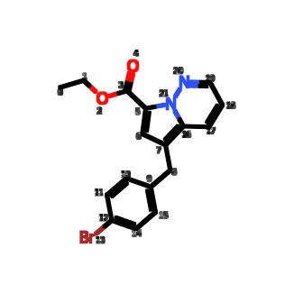 CCOC(=O)c1cc(Cc2ccc(Br)cc2)c2cccnn12